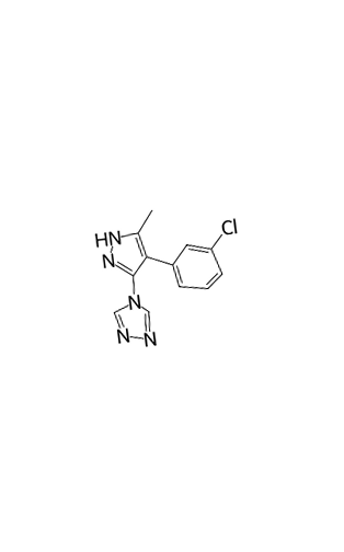 Cc1[nH]nc(-n2cnnc2)c1-c1cccc(Cl)c1